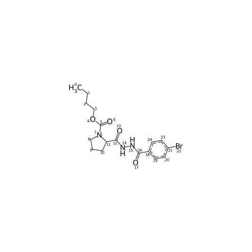 CCCCOC(=O)N1CCCC1C(=O)NNC(=O)c1ccc(Br)cc1